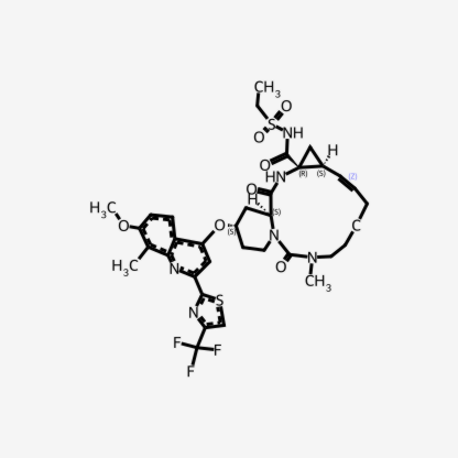 CCS(=O)(=O)NC(=O)[C@@]12C[C@H]1/C=C\CCCCN(C)C(=O)N1CC[C@H](Oc3cc(-c4nc(C(F)(F)F)cs4)nc4c(C)c(OC)ccc34)C[C@H]1C(=O)N2